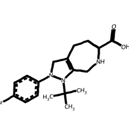 CC(C)(C)N1C2=C(CCC(C(=O)O)NC2)CN1c1ccc(Br)cc1